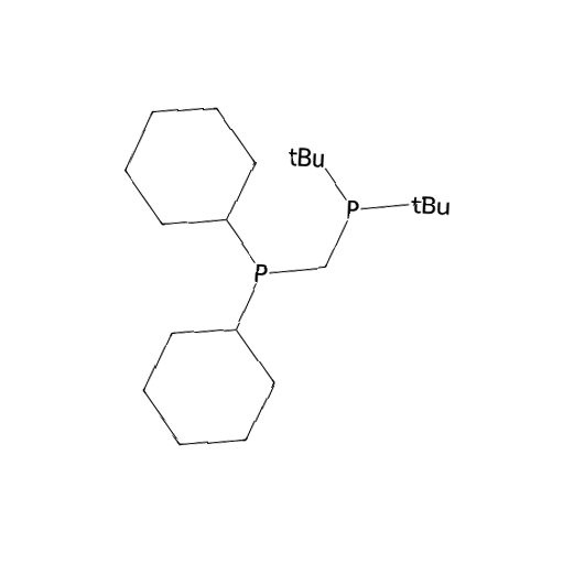 CC(C)(C)P(CP(C1CCCCC1)C1CCCCC1)C(C)(C)C